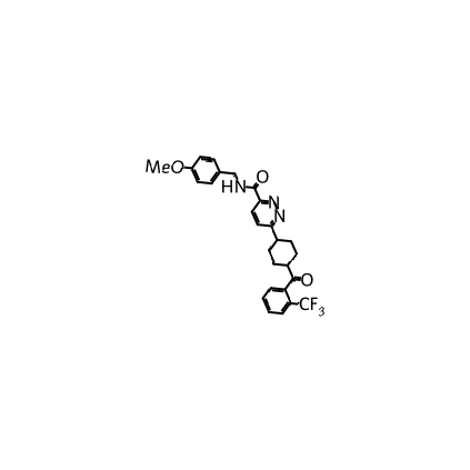 COc1ccc(CNC(=O)c2ccc(C3CCC(C(=O)c4ccccc4C(F)(F)F)CC3)nn2)cc1